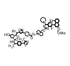 CCc1cccc2cc(OCOC)cc(-c3ncc4c(N5CCCCCC5)nc(OC[C@@]56CCCN5[C@H](COC(=O)N5CCN(c7cc([C@@H](C(=O)N8C[C@H](O)C[C@H]8C(=O)N[C@@H](C)c8ccc(-c9scnc9C)cc8)C(C)C)on7)CC5)CC6)nc4c3F)c12